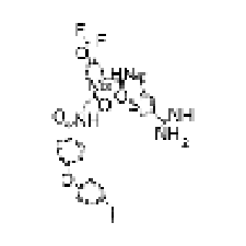 CCc1ccc(Oc2ccc(C(=O)NCC(=O)N3C[C@H](OC(F)F)C[C@H]3C(=O)N[C@H](C)c3cc(C(=N)N)cs3)cc2)cc1